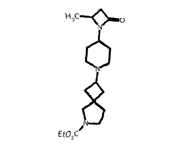 CCOC(=O)N1CCC2(CC(N3CCC(N4C(=O)CC4C)CC3)C2)C1